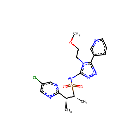 COCCn1c(NS(=O)(=O)[C@H](C)[C@@H](C)c2ncc(Cl)cn2)nnc1-c1cccnc1